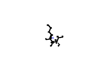 CCC/C=C(\C)N(C)[C@@H](C)CC